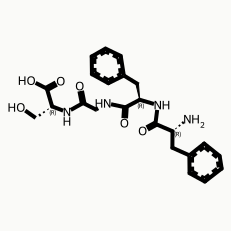 N[C@H](Cc1ccccc1)C(=O)N[C@H](Cc1ccccc1)C(=O)NCC(=O)N[C@H](CO)C(=O)O